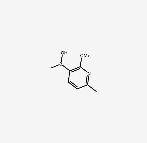 COc1nc(C)ccc1B(C)O